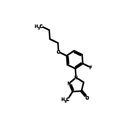 CCCCOc1ccc(F)c(N2CC(=O)C(C)=N2)c1